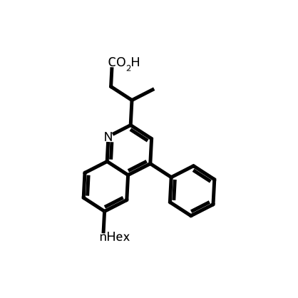 CCCCCCc1ccc2nc(C(C)CC(=O)O)cc(-c3ccccc3)c2c1